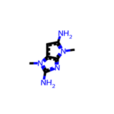 Cn1c(N)nc2c1cc(N)n2C